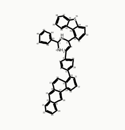 NC(NC(/C=C/c1ccc(-c2cccc3c2ccc2cc4ccccc4cc23)cc1)c1cccc2sc3ccccc3c12)c1ccccc1